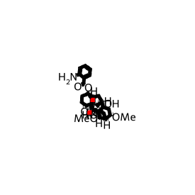 CCN1C[C@]2(OC(=O)c3ccccc3N)CC[C@H](OC)[C@]34C1[C@@H](C[C@H]23)[C@@]1(O)C[C@H](OC)[C@H]2C[C@@H]4[C@]1(O)[C@@H]2OC